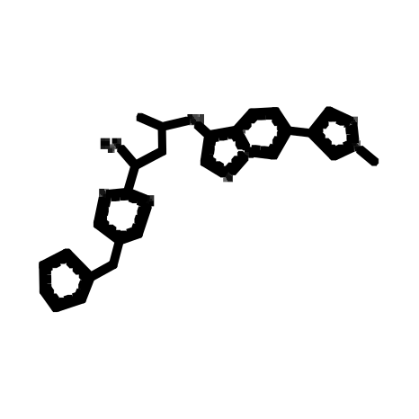 CC(CC(N)c1ncc(Cc2ccccc2)cn1)Nc1cnn2cc(-c3cnn(C)c3)ccc12